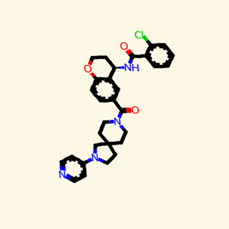 O=C(N[C@@H]1CCOc2ccc(C(=O)N3CCC4(CC3)CCN(c3ccncc3)C4)cc21)c1ccccc1Cl